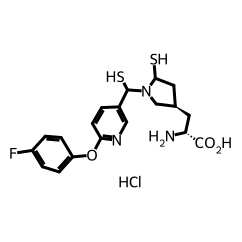 Cl.N[C@H](C[C@@H]1CC(S)N(C(S)c2ccc(Oc3ccc(F)cc3)nc2)C1)C(=O)O